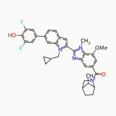 COc1cc(C(=O)N2CC3CCC2C3C)cc2nc(-c3cc4ccc(-c5cc(F)c(O)c(F)c5)cc4n3CC3CC3)n(C)c12